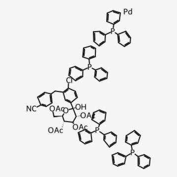 CC(=O)OC[C@H]1O[C@@](O)(c2ccc(Cl)c(Cc3ccc(C#N)cc3)c2)[C@H](OC(C)=O)[C@@H](OC(C)=O)[C@@H]1OC(C)=O.[Pd].c1ccc(P(c2ccccc2)c2ccccc2)cc1.c1ccc(P(c2ccccc2)c2ccccc2)cc1.c1ccc(P(c2ccccc2)c2ccccc2)cc1.c1ccc(P(c2ccccc2)c2ccccc2)cc1